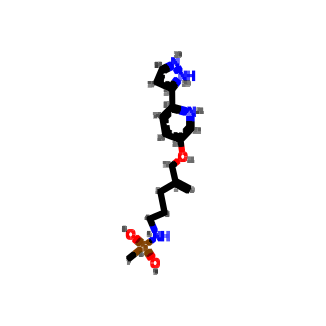 C=C(CCCNS(C)(=O)=O)COc1ccc(-c2ccn[nH]2)nc1